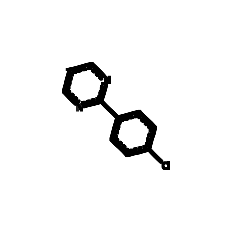 Clc1ccc(-c2nc[c]cn2)cc1